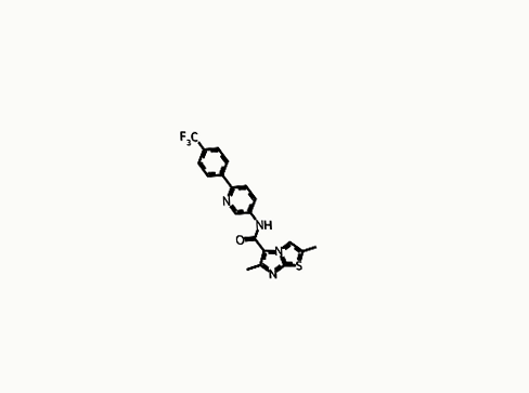 Cc1cn2c(C(=O)Nc3ccc(-c4ccc(C(F)(F)F)cc4)nc3)c(C)nc2s1